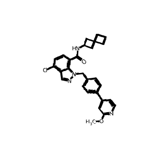 COc1cc(-c2ccc(Cn3ncc4c(Cl)ccc(C(=O)NC5CC6(CCC6)C5)c43)cc2)ccn1